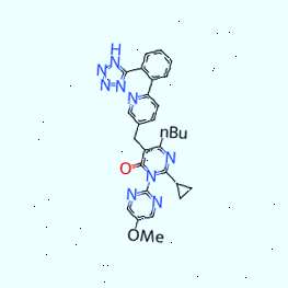 CCCCc1nc(C2CC2)n(-c2ncc(OC)cn2)c(=O)c1Cc1ccc(-c2ccccc2-c2nnn[nH]2)nc1